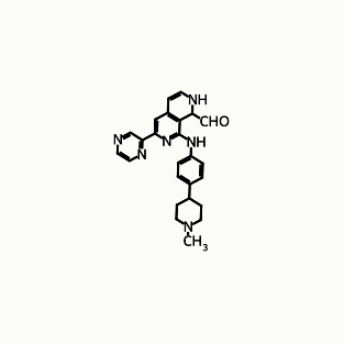 CN1CCC(c2ccc(Nc3nc(-c4cnccn4)cc4c3C(C=O)NC=C4)cc2)CC1